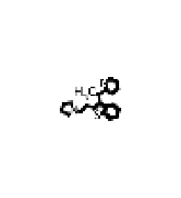 CC(c1ccccn1)c1c(CCN2CCCC2)sc2ccccc12